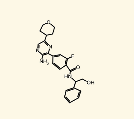 Nc1ncc(C2CCOCC2)nc1-c1ccc(C(=O)NC(CO)c2ccccc2)c(F)c1